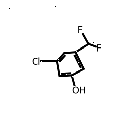 Oc1cc(Cl)cc(C(F)F)c1